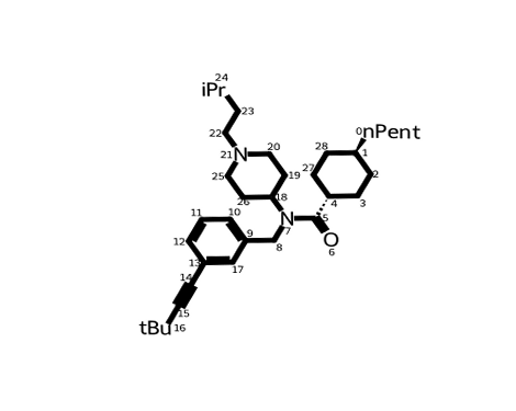 CCCCC[C@H]1CC[C@H](C(=O)N(Cc2cccc(C#CC(C)(C)C)c2)C2CCN(CCC(C)C)CC2)CC1